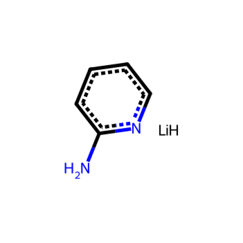 Nc1ccccn1.[LiH]